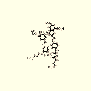 O=S(=O)(O)CCCOc1cc(N=Nc2cccc(SOOO)c2)ccc1Nc1nc(NCCS(=O)(=O)O)nc(Nc2ccc(N=Nc3cc(S(=O)(=O)O)c4cc(S(=O)(=O)O)cc(S(=O)(=O)O)c4c3)cc2)n1